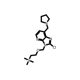 C[Si](C)(C)CCOCn1c(Cl)nc2c(CN3CCCC3)ccnc21